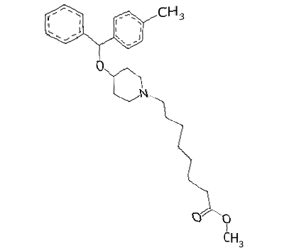 COC(=O)CCCCCCCN1CCC(OC(c2ccccc2)c2ccc(C)cc2)CC1